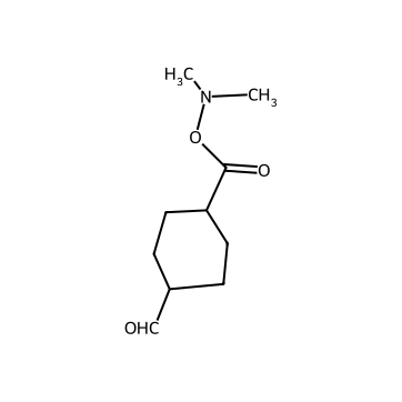 CN(C)OC(=O)C1CCC(C=O)CC1